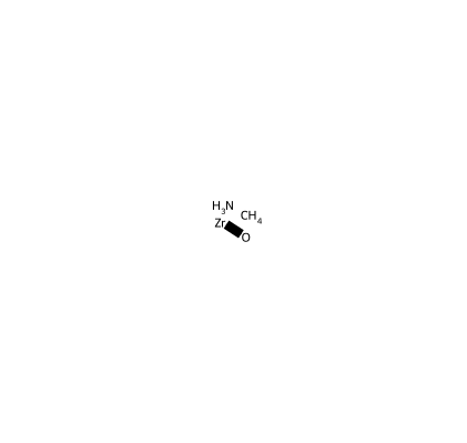 C.N.[O]=[Zr]